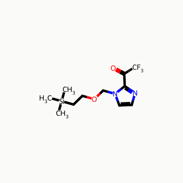 C[Si](C)(C)CCOCn1ccnc1C(=O)C(F)(F)F